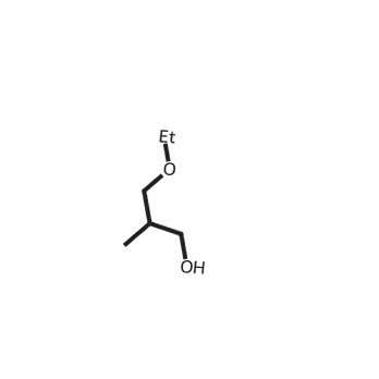 CCOCC(C)CO